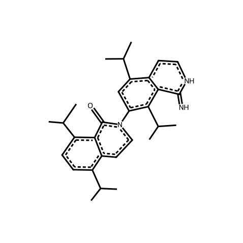 CC(C)c1cc(-n2ccc3c(C(C)C)ccc(C(C)C)c3c2=O)c(C(C)C)c2c(=N)[nH]ccc12